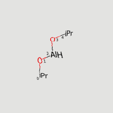 CC(C)[O][AlH][O]C(C)C